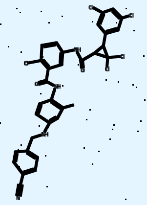 Cc1cc(NCc2ccc(C#N)cc2)ccc1NC(=O)c1cc(NC(=O)C2C(c3cc(Cl)cc(Cl)c3)C2(Cl)Cl)ccc1Cl